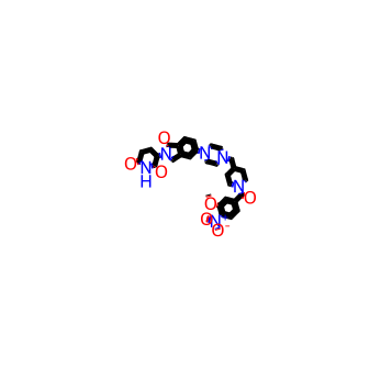 COc1cc(C(=O)N2CCC(CN3CCN(c4ccc5c(c4)CN(C4CCC(=O)NC4=O)C5=O)CC3)CC2)ccc1[N+](=O)[O-]